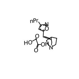 CCCc1cc(C=C2CN3CCC2CC3)on1.O=C(O)C(=O)O